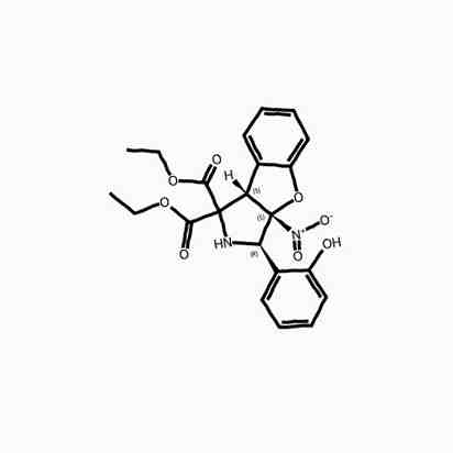 CCOC(=O)C1(C(=O)OCC)N[C@H](c2ccccc2O)[C@@]2([N+](=O)[O-])Oc3ccccc3[C@@H]12